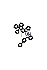 N=C(c1ccc(-c2ccccc2)cc1)c1ccccc1/N=C/n1c2ccccc2c2c3c(ccc21)C(c1ccccc1)(c1ccccc1)c1ccccc1-3